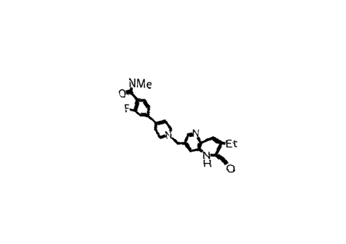 CCC1=Cc2ncc(CN3CC=C(c4ccc(C(=O)NC)c(F)c4)CC3)cc2NC1=C=O